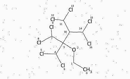 CCOC(C(Cl)Cl)(C(Cl)Cl)C(C(Cl)Cl)C(Cl)Cl